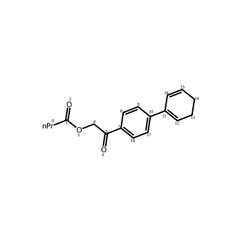 CCCC(=O)OCC(=O)c1ccc(C2=CCCC=C2)cc1